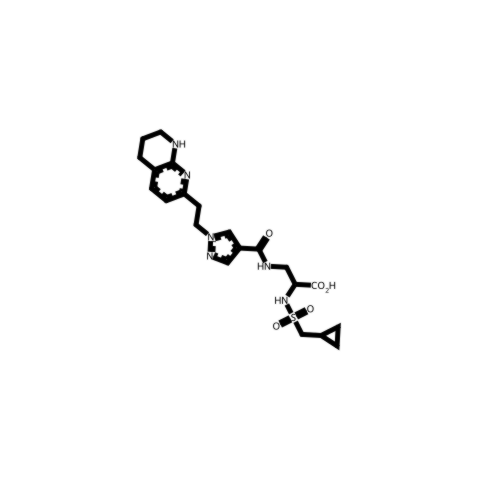 O=C(NCC(NS(=O)(=O)CC1CC1)C(=O)O)c1cnn(CCc2ccc3c(n2)NCCC3)c1